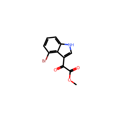 COC(=O)C(=O)c1c[nH]c2cccc(Br)c12